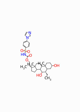 CC[C@@H]1C2C[C@H](O)CCC2(C)C2CCC3(C)C(CCC3[C@H](C)COC(=O)NS(=O)(=O)c3ccc(-n4ccnc4)cc3)C2[C@@H]1O